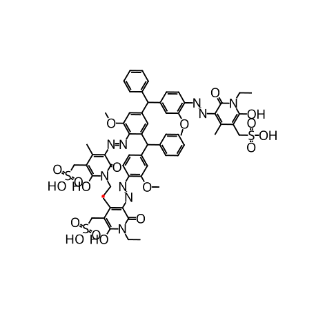 CCn1c(O)c(CS(=O)(=O)O)c(C)c(/N=N/c2ccc(C(c3ccccc3)c3cc(OC)c(/N=N/c4c(C)c(CS(=O)(=O)O)c(O)n(CC)c4=O)c(C(c4ccccc4)c4ccc(/N=N/c5c(C)c(CS(=O)(=O)O)c(O)n(CC)c5=O)c(OC)c4)c3)cc2OC)c1=O